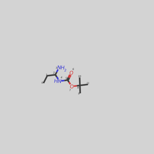 C[CH]C(N)NC(=O)OC(C)(C)C